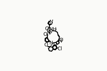 CO[C@H]1/C=C/C[C@H](C)C[S@@](=O)(NC(=O)c2ccn(C)c2)=NC(=O)c2ccc3c(c2)N(C[C@@H]2CC[C@H]21)C[C@@]1(CCCc2cc(Cl)ccc21)CO3